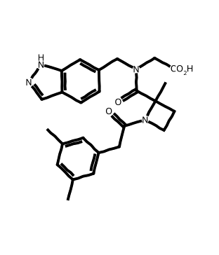 Cc1cc(C)cc(CC(=O)N2CCC2(C)C(=O)N(CC(=O)O)Cc2ccc3cn[nH]c3c2)c1